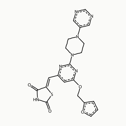 O=C1NC(=O)/C(=C/c2cc(OCc3ccco3)nc(N3CCN(c4cncnc4)CC3)n2)S1